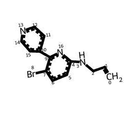 C=CCNc1ccc(Br)c(-c2ccncc2)n1